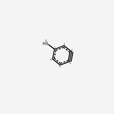 Sc1cc#ccc1